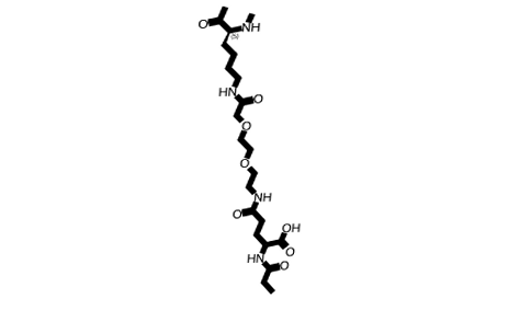 CCC(=O)NC(CCC(=O)NCCOCCOCC(=O)NCCCC[C@H](NC)C(C)=O)C(=O)O